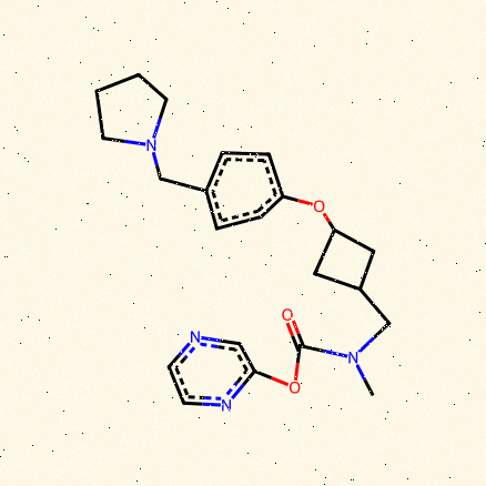 CN(CC1CC(Oc2ccc(CN3CCCC3)cc2)C1)C(=O)Oc1cnccn1